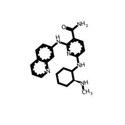 CN[C@H]1CCCCC1Nc1ccc(C(N)=O)c(Nc2ccc3cccnc3c2)n1